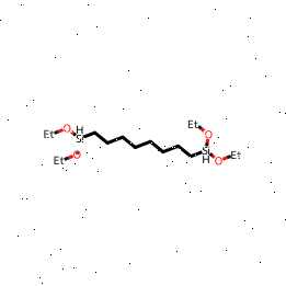 CCO[SiH](CCCCCCCC[SiH](OCC)OCC)OCC